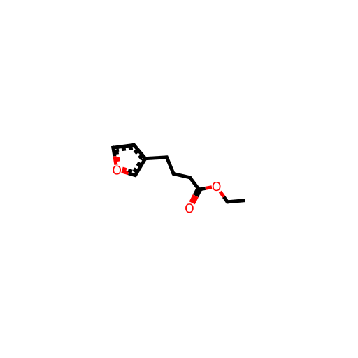 CCOC(=O)CCCc1ccoc1